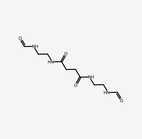 O=CNCCNC(=O)CCC(=O)NCCNC=O